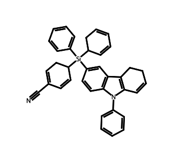 N#CC1=CCC([Si](c2ccccc2)(c2ccc3c(c2)c2c(n3-c3ccccc3)C=CCC2)C2C=CC=CC2)C=C1